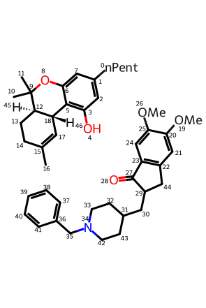 CCCCCc1cc(O)c2c(c1)OC(C)(C)[C@@H]1CCC(C)=C[C@@H]21.COc1cc2c(cc1OC)C(=O)C(CC1CCN(Cc3ccccc3)CC1)C2